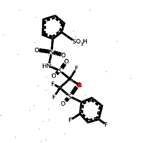 O=S(=O)(O)c1ccccc1S(=O)(=O)NS(=O)(=O)C(F)(F)C(F)(F)S(=O)(=O)c1ccc(F)cc1F